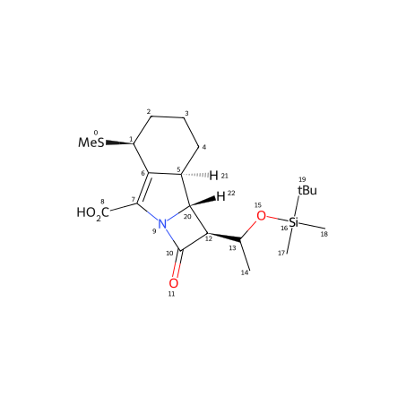 CS[C@H]1CCC[C@@H]2C1=C(C(=O)O)N1C(=O)[C@H](C(C)O[Si](C)(C)C(C)(C)C)[C@@H]21